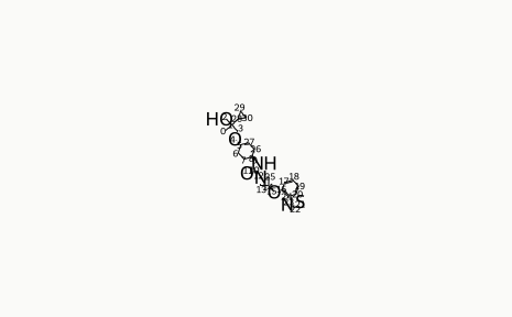 CC(O)(CO[C@H]1CC[C@H](NC(=O)N2CC(Oc3cccc4scnc34)C2)CC1)C1CC1